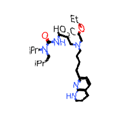 CCOCCN(CCCCc1ccc2c(n1)NCCC2)CCC(NC(=O)N(CC(C)C)C(C)C)C(=O)O